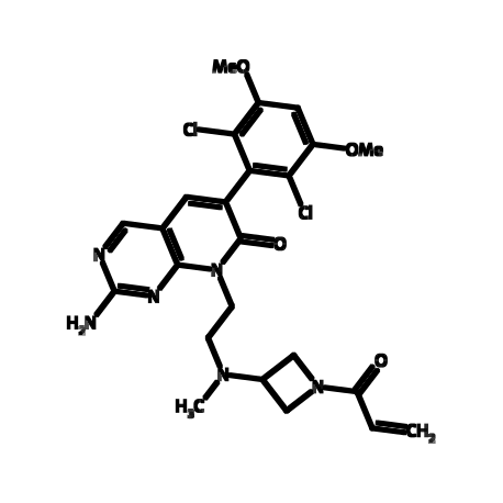 C=CC(=O)N1CC(N(C)CCn2c(=O)c(-c3c(Cl)c(OC)cc(OC)c3Cl)cc3cnc(N)nc32)C1